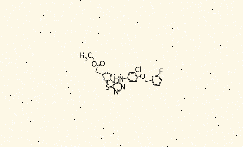 CCOC(=O)Cc1ccc2c(c1)sc1ncnc(Nc3ccc(OCc4cccc(F)c4)c(Cl)c3)c12